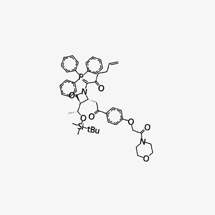 C=CCCC(=O)C(N1C(=O)[C@H]([C@@H](C)O[Si](C)(C)C(C)(C)C)[C@H]1CC(=O)c1ccc(OCC(=O)N2CCOCC2)cc1)=P(c1ccccc1)(c1ccccc1)c1ccccc1